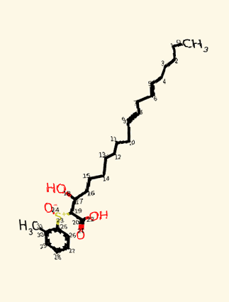 CCCCCC=CCC=CCCCCCCCC(O)C(C(=O)O)[S@@+]([O-])c1ccccc1C